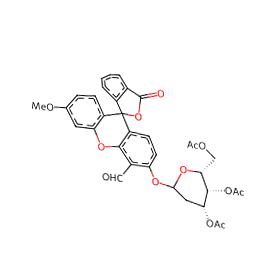 COc1ccc2c(c1)Oc1c(ccc(OC3C[C@@H](OC(C)=O)[C@@H](OC(C)=O)[C@@H](COC(C)=O)O3)c1C=O)C21OC(=O)c2ccccc21